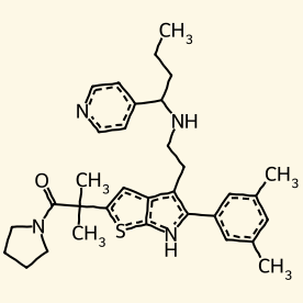 CCCC(NCCc1c(-c2cc(C)cc(C)c2)[nH]c2sc(C(C)(C)C(=O)N3CCCC3)cc12)c1ccncc1